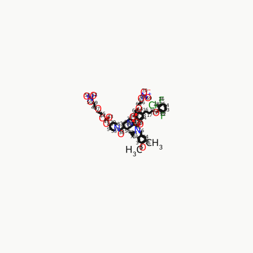 COc1ccc(CN(C(=O)C2=C(c3ccc(CCCOc4c(F)ccc(F)c4Cl)cc3)CC3CC(C(=O)N4CCC(OC(=O)OCCOCCO[N+](=O)[O-])CC4)CC2N3C(=O)OCCOCCO[N+](=O)[O-])C2CC2)cc1C